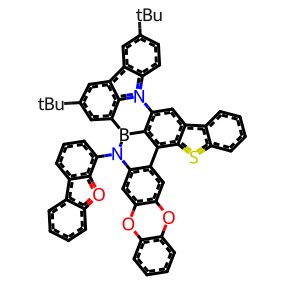 CC(C)(C)c1ccc2c(c1)c1cc(C(C)(C)C)cc3c1n2-c1cc2c(sc4ccccc42)c2c1B3N(c1cccc3c1oc1ccccc13)c1cc3c(cc1-2)Oc1ccccc1O3